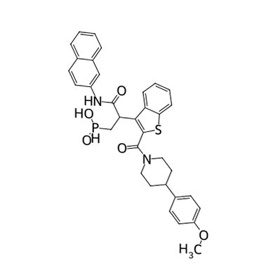 COc1ccc(C2CCN(C(=O)c3sc4ccccc4c3C(C[PH](=O)O)C(=O)Nc3ccc4ccccc4c3)CC2)cc1